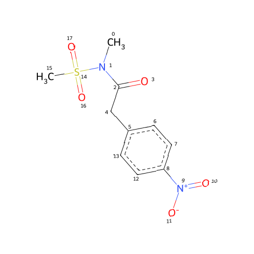 CN(C(=O)Cc1ccc([N+](=O)[O-])cc1)S(C)(=O)=O